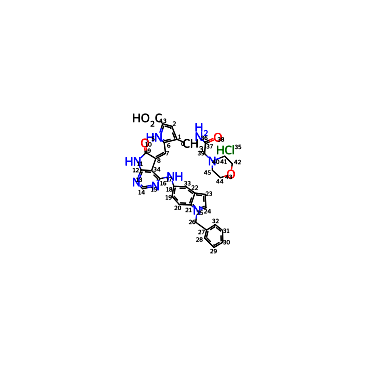 Cc1cc(C(=O)O)[nH]c1C=C1C(=O)Nc2ncnc(Nc3ccc4c(ccn4Cc4ccccc4)c3)c21.Cl.NC(=O)CN1CCOCC1